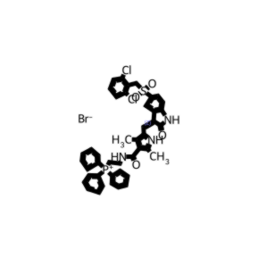 Cc1[nH]c(/C=C2\C(=O)Nc3ccc(S(=O)(=O)Cc4c(Cl)cccc4Cl)cc32)c(C)c1C(=O)NCC[P+](c1ccccc1)(c1ccccc1)c1ccccc1.[Br-]